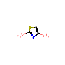 Bc1csc(B)n1